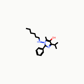 CCCCCCNN1C(C)=C(O)C(C(C)C)=NC1c1ccccc1